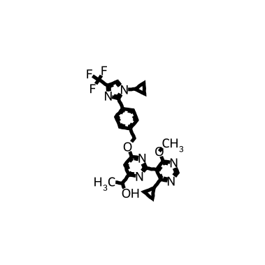 COc1ncnc(C2CC2)c1-c1nc(OCc2ccc(-c3nc(C(F)(F)F)cn3C3CC3)cc2)cc(C(C)O)n1